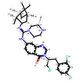 C[C@@H]1C(/N=C(/Nc2ccc3c(=O)n([C@H](CF)Cc4ccc(F)cc4F)cnc3c2)N2CCN[C@@H](C)C2)C[C@H]2C[C@@H]1C2(C)C